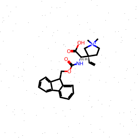 C=C[C@]1([C@H](NC(=O)OCC2c3ccccc3-c3ccccc32)C(=O)O)CC[N+](C)(C)C1